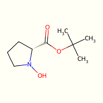 CC(C)(C)OC(=O)[C@H]1CCCN1O